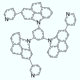 c1cncc(-c2cc3ccc4cccc5c4c3c(c2)n5-c2cc(-n3c4cccc5ccc6cc(-c7cccnc7)cc3c6c54)cc(-n3c4cccc5ccc6cc(-c7cccnc7)cc3c6c54)c2)c1